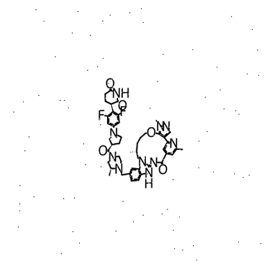 Cc1cc2cc(n1)-c1cnn(C)c1OCCC[C@@H](C)CN1/C(=N/C2=O)Nc2ccc(CN3CCN(C(=O)[C@@H]4CCN(c5cc(F)c([C@H]6CCC(=O)NC6=O)c(F)c5)C4)C[C@@H]3C)cc21